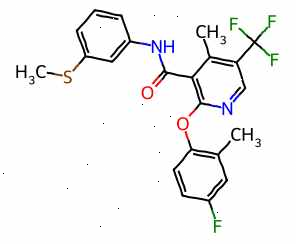 CSc1cccc(NC(=O)c2c(Oc3ccc(F)cc3C)ncc(C(F)(F)F)c2C)c1